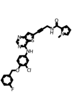 Cn1cccc1C(=O)NCC#Cc1cc2ncnc(Nc3ccc(OCc4cccc(F)c4)c(Cl)c3)c2s1